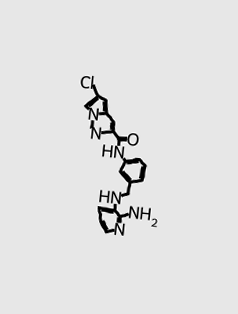 Nc1ncccc1NCc1cccc(NC(=O)c2cc3cc(Cl)cn3cn2)c1